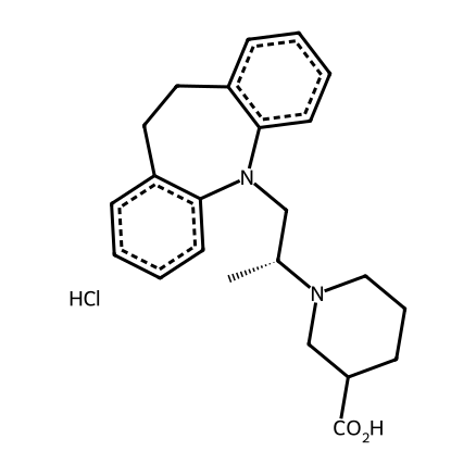 C[C@H](CN1c2ccccc2CCc2ccccc21)N1CCCC(C(=O)O)C1.Cl